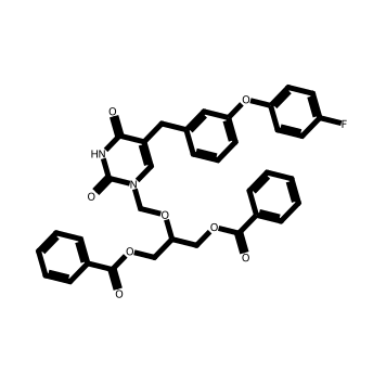 O=C(OCC(COC(=O)c1ccccc1)OCn1cc(Cc2cccc(Oc3ccc(F)cc3)c2)c(=O)[nH]c1=O)c1ccccc1